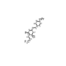 CCCc1ccc(/C=C/c2cc(F)c(/C=C/C(F)(F)F)c(Cl)c2)cc1